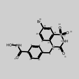 O=C(NO)c1ccc(CN2C(=O)NS(=O)(=O)c3cc(Br)ccc32)cc1